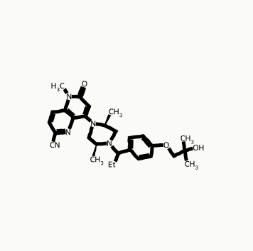 CCC(c1ccc(OCC(C)(C)O)cc1)N1C[C@H](C)N(c2cc(=O)n(C)c3ccc(C#N)nc23)C[C@@H]1C